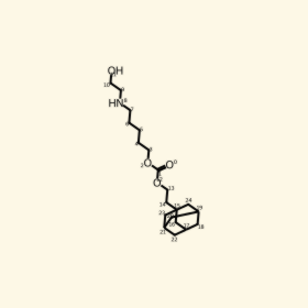 O=C(OCCCCCNCCO)OCCC12CC3CC(CC(C3)C1)C2